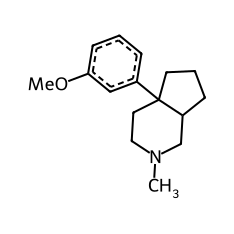 COc1cccc(C23CCCC2CN(C)CC3)c1